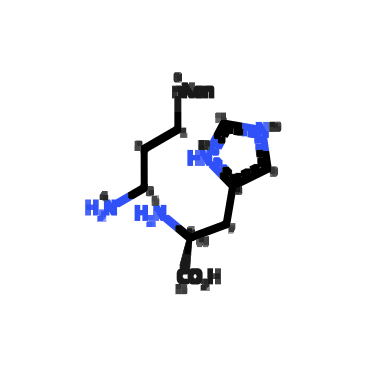 CCCCCCCCCCCCN.N[C@@H](Cc1cnc[nH]1)C(=O)O